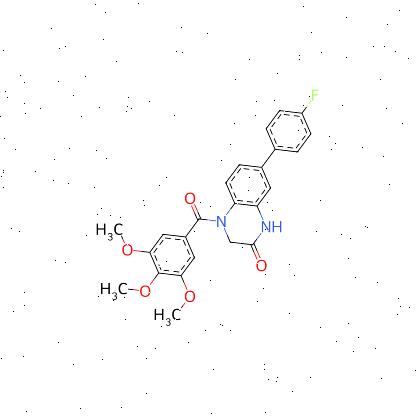 COc1cc(C(=O)N2CC(=O)Nc3cc(-c4ccc(F)cc4)ccc32)cc(OC)c1OC